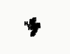 Cc1ccc(N2CCN(C)CC2)cc1C(=O)N[C@H](C)c1cc(-c2cnn(C)c2)cc(-c2cc(Cl)cnc2N)c1